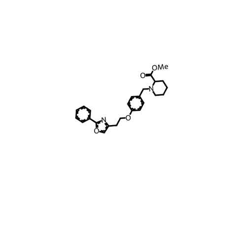 COC(=O)C1CCCCN1Cc1ccc(OCCc2coc(-c3ccccc3)n2)cc1